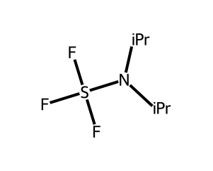 CC(C)N(C(C)C)S(F)(F)F